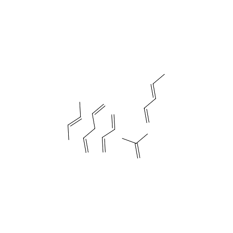 C=C(C)C.C=CC=C.C=CC=CC.C=CCC=C.CC=CC